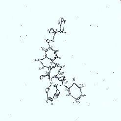 CC(C)N(C)C(=O)COc1ccc2c(c1)CCn1c-2cc(OC(C2=CC=CCC2)C2=COC=CO2)nc1=O